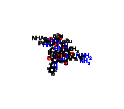 CCCC[C@H](NC(=O)[C@H](CCC(=O)O)NC(=O)[C@@H](NC(C)=O)C(C)C)C(=O)N[C@@H](CCCC)C(=O)N[C@H](C(=O)N[C@@H](C)C(=O)N[C@@H](CCCN=C(N)N)C(=O)NCC(=O)N[C@@H](Cc1ccccc1)C(N)=O)[C@@H](C)O